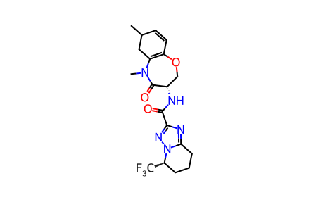 CC1C=CC2=C(C1)N(C)C(=O)[C@@H](NC(=O)c1nc3n(n1)[C@H](C(F)(F)F)CCC3)CO2